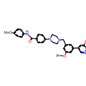 COc1ccc(NC(=O)c2ccc(N3CCN(Cc4cc(OC(C)C)cc(-c5cncc(O)c5)c4)CC3)cc2)cc1